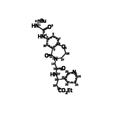 CCCCNC(=O)Nc1ccc2c(c1)C(=O)N(CC(=O)NC(CC(=O)OCC)c1cccnc1)CCO2